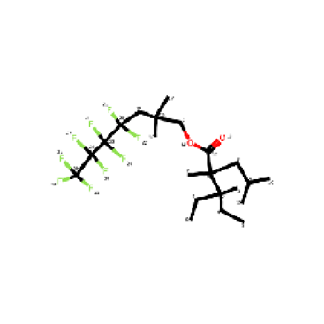 CCC(C)(CC)C(C)(CC(C)C)C(=O)OCC(C)(C)CC(F)(F)C(F)(F)C(F)(F)C(F)(F)F